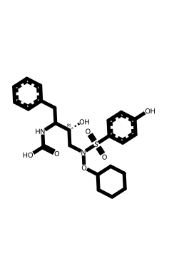 O=C(O)NC(Cc1ccccc1)[C@H](O)CN(OC1CCCCC1)S(=O)(=O)c1ccc(O)cc1